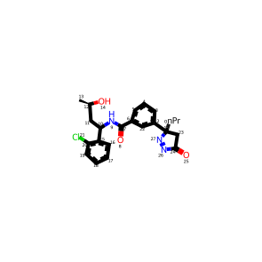 CCCC1(c2cccc(C(=O)NC(C[C@@H](C)O)c3ccccc3Cl)c2)CC(=O)N=N1